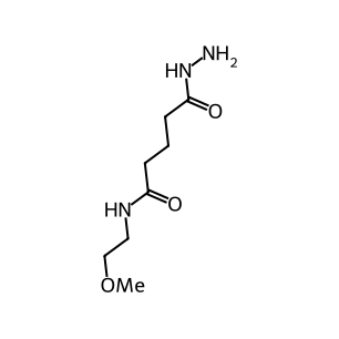 COCCNC(=O)CCCC(=O)NN